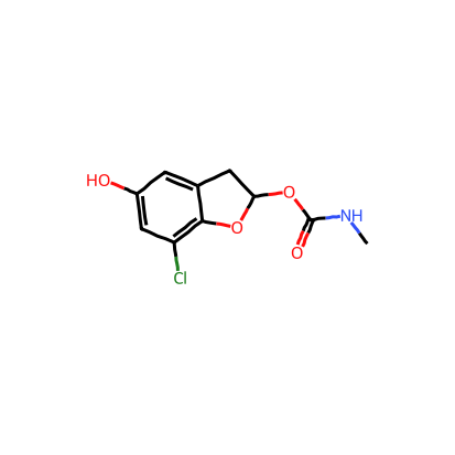 CNC(=O)OC1Cc2cc(O)cc(Cl)c2O1